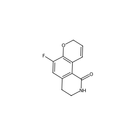 O=C1NCCc2cc(F)c3c(c21)C=CCO3